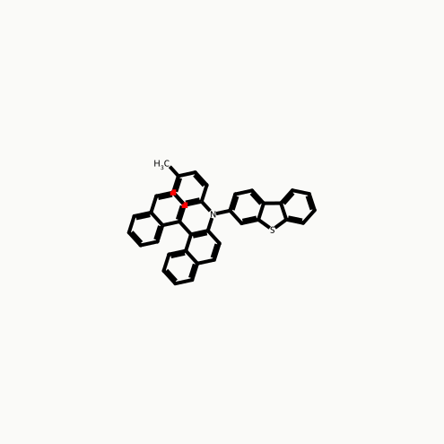 Cc1ccc(N(c2ccc3c(c2)sc2ccccc23)c2ccc3ccccc3c2-c2cccc3ccccc23)cc1